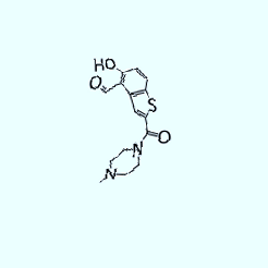 CN1CCN(C(=O)c2cc3c(C=O)c(O)ccc3s2)CC1